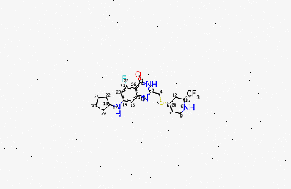 O=c1[nH]c(CS[C@H]2CCN[C@@H](C(F)(F)F)C2)nc2cc(NC3CCCC3)cc(F)c12